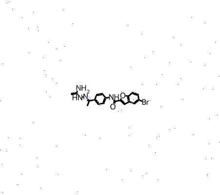 C=C(N)N/N=C(\C)c1ccc(NC(=O)c2cc3cc(Br)ccc3o2)cc1